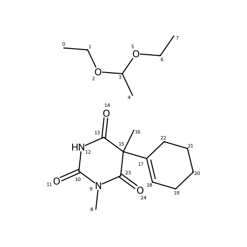 CCOC(C)OCC.CN1C(=O)NC(=O)C(C)(C2=CCCCC2)C1=O